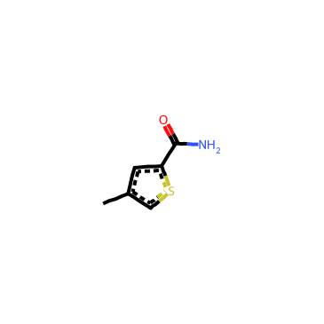 Cc1csc(C(N)=O)c1